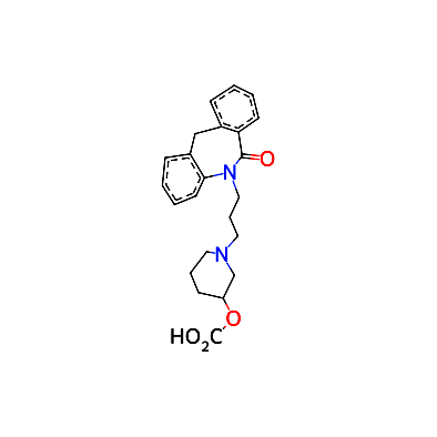 O=C(O)OC1CCCN(CCCN2C(=O)c3ccccc3Cc3ccccc32)C1